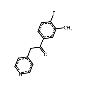 Cc1cc(C(=O)Cc2ccncc2)ccc1F